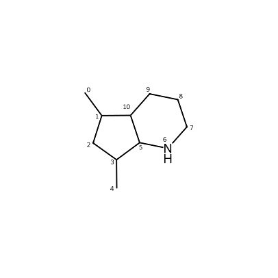 CC1CC(C)C2NCCCC12